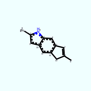 CC1=Cc2cc3[nH]c(C(C)C)cc3cc2C1